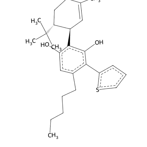 CCCCCc1cc(O)c([C@@H]2C=C(C)CC[C@H]2C(C)(C)C)c(O)c1-c1cccs1